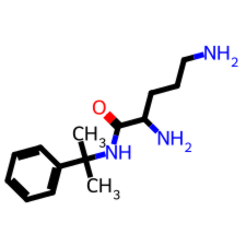 CC(C)(NC(=O)C(N)CCCN)c1ccccc1